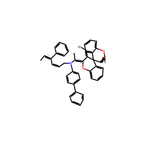 C/C=C(\C=C/CN(/C(C)=C1\Oc2ccccc2C2(\C1=C\CC)c1ccccc1Oc1ccccc12)c1ccc(-c2ccccc2)cc1)c1ccccc1